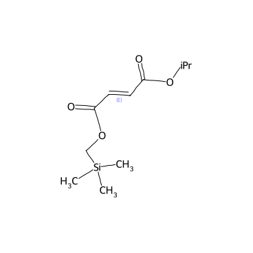 CC(C)OC(=O)/C=C/C(=O)OC[Si](C)(C)C